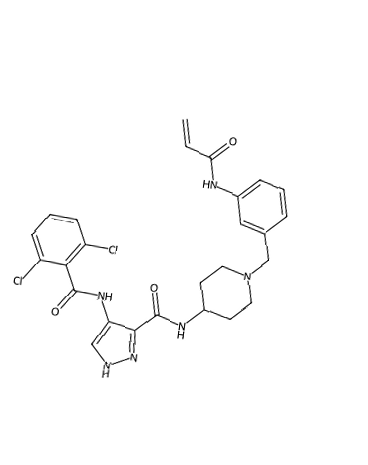 C=CC(=O)Nc1cccc(CN2CCC(NC(=O)c3n[nH]cc3NC(=O)c3c(Cl)cccc3Cl)CC2)c1